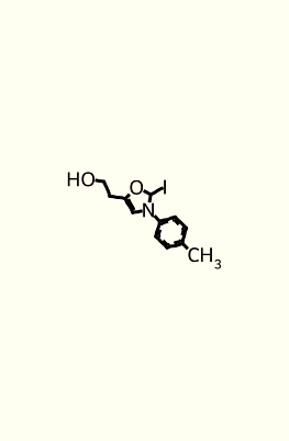 Cc1ccc(N2C=C(CCO)OC2I)cc1